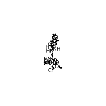 C=CCOC(=O)[C@H](CCCl)NC(=O)[C@@H](CCCNC(=N)NS(=O)(=O)c1c(C)c(C)c2c(c1C)CC(C)(C)O2)NC(=O)OC(C)(C)C